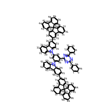 c1ccc(-c2nc(-c3ccccc3)nc(-c3cc(-n4c5ccccc5c5cc(-c6ccc7c(c6)-c6ccccc6C76c7ccccc7-c7ccccc76)ccc54)cc(-n4c5ccccc5c5cc(-c6ccc7c(c6)-c6ccccc6C76c7ccccc7-c7ccccc76)ccc54)c3)n2)cc1